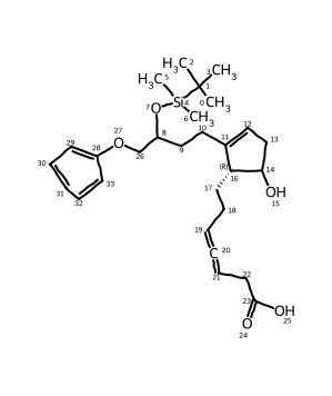 CC(C)(C)[Si](C)(C)OC(CCC1=CCC(O)[C@@H]1CCC=C=CCC(=O)O)COc1ccccc1